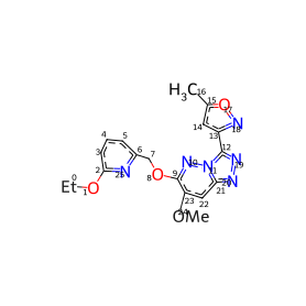 CCOc1cccc(COc2nn3c(-c4cc(C)on4)nnc3cc2OC)n1